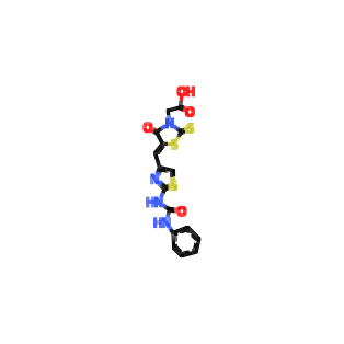 O=C(O)CN1C(=O)/C(=C/c2csc(NC(=O)Nc3ccccc3)n2)SC1=S